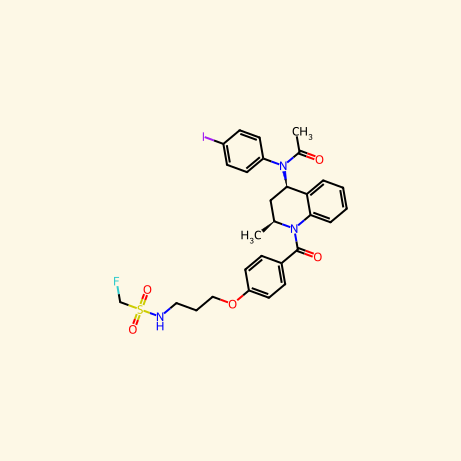 CC(=O)N(c1ccc(I)cc1)[C@@H]1C[C@H](C)N(C(=O)c2ccc(OCCCNS(=O)(=O)CF)cc2)c2ccccc21